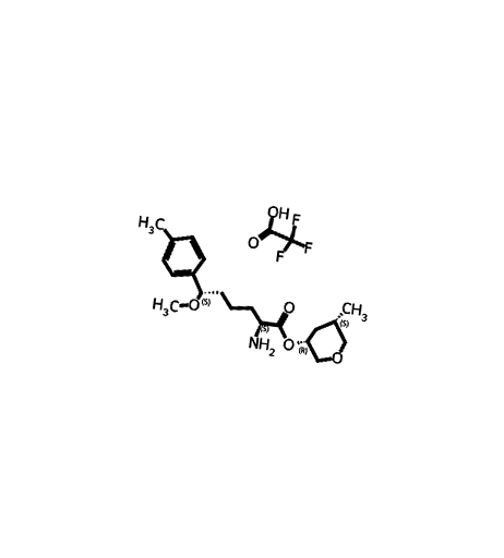 CO[C@@H](CCC[C@H](N)C(=O)O[C@H]1COC[C@@H](C)C1)c1ccc(C)cc1.O=C(O)C(F)(F)F